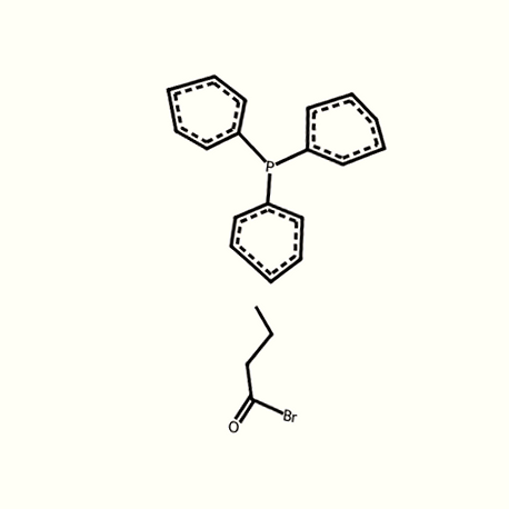 CCCC(=O)Br.c1ccc(P(c2ccccc2)c2ccccc2)cc1